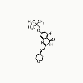 CC(C)(COc1cc(F)c2c(=O)[nH]c(CSC3CCOCC3)nc2c1)C(F)(F)F